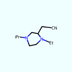 CCN1CCN(C(C)C)CC1CC#N